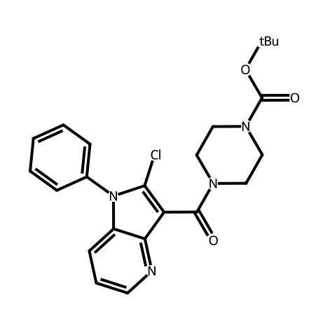 CC(C)(C)OC(=O)N1CCN(C(=O)c2c(Cl)n(-c3ccccc3)c3cccnc23)CC1